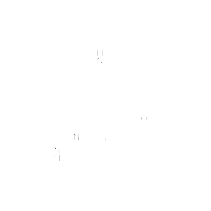 CCOC(=O)c1c[nH]c2c1-c1n[nH]cc1CCC2